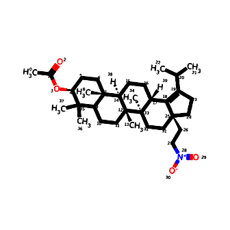 CC(=O)O[C@H]1CC[C@@]2(C)C(CC[C@]3(C)[C@@H]2CC[C@@H]2C4=C(C(C)C)CC[C@]4(CC[N+](=O)[O-])CC[C@]23C)C1(C)C